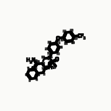 CC(C)N(Cc1ccccc1)[C@@H](CN(c1ccc(Oc2ccc(C(F)(F)F)cc2)cc1)S(C)(=O)=O)C(N)=O